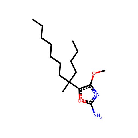 CCCCCCCC(C)(CCCC)c1oc(N)nc1OC